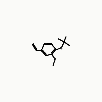 C=Cc1ccc(OC(C)(C)C)c(OC)c1